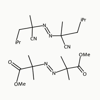 CC(C)CC(C)(C#N)N=NC(C)(C#N)CC(C)C.COC(=O)C(C)(C)N=NC(C)(C)C(=O)OC